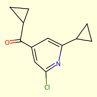 O=C(c1cc(Cl)nc(C2CC2)c1)C1CC1